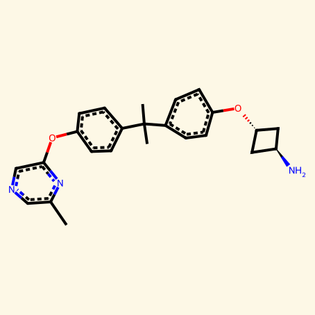 Cc1cncc(Oc2ccc(C(C)(C)c3ccc(O[C@H]4C[C@H](N)C4)cc3)cc2)n1